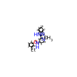 CCc1cccc(ON[C@@H]2CCN(C)C(c3nc4ccccc4[nH]3)C2)c1